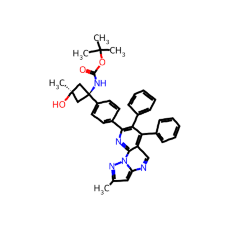 Cc1cc2ncc3c(-c4ccccc4)c(-c4ccccc4)c(-c4ccc([C@]5(NC(=O)OC(C)(C)C)C[C@@](C)(O)C5)cc4)nc3n2n1